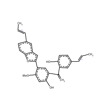 C=C(c1cc(/C=C/C)ccc1O)c1cc(-c2cc3cc(/C=C/C)ccc3o2)c(OC)cc1O